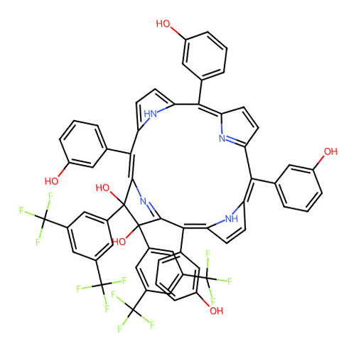 Oc1cccc(-c2c3nc(c(-c4cccc(O)c4)c4ccc([nH]4)c(-c4cccc(O)c4)c4nc(c(-c5cccc(O)c5)c5ccc2[nH]5)C(O)(c2cc(C(F)(F)F)cc(C(F)(F)F)c2)C4(O)c2cc(C(F)(F)F)cc(C(F)(F)F)c2)C=C3)c1